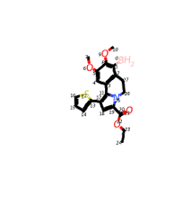 Bc1c2c(cc(OC)c1OC)-c1c(-c3cccs3)cc(C(=O)OCC)n1CC2